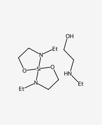 CCN1CCO[Si]12OCCN2CC.CCNCCO